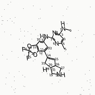 CNc1cc(C)nc(Nc2cc3c(c(C4=CC5CNC[C@H]5C4)c2)OC(F)(F)O3)n1